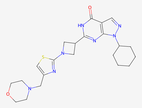 O=c1[nH]c(C2CN(c3nc(CN4CCOCC4)cs3)C2)nc2c1cnn2C1CCCCC1